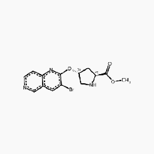 COC(=O)[C@@H]1C[C@@H](Oc2nc3ccncc3cc2Br)CN1